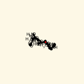 Cc1c(-c2ccc(N3CCc4cccc(C(=O)Nc5nc6cccnc6s5)c4C3)nc2C(=O)O)cnn1CC12CC3CC(C1)CC(OCCN(CCS(=O)(=O)O)C(=O)OCc1ccc(NC(=O)[C@H](CCCNC(N)=O)NC(=O)[C@@H](NC(=O)CCCCCN4C(=O)C=CC4=O)C(C)C)cc1)(C3)C2